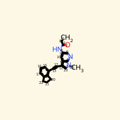 C=CC(=O)Nc1cnc2c(c1)c(C#Cc1cccc3c1CCC3)cn2C